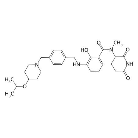 CC(C)OC1CCN(Cc2ccc(CNc3cccc(C(=O)N(C)C4CCC(=O)NC4=O)c3O)cc2)CC1